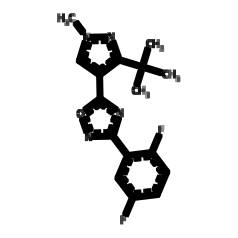 Cn1cc(-c2nc(-c3cc(F)ccc3F)no2)c(C(C)(C)C)n1